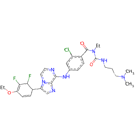 CCOC1=C(F)C(F)C(c2cnc3c(Nc4ccc(C(=O)N(CC)C(=O)NCCCN(C)C)c(Cl)c4)nccn23)C=C1